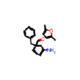 Cc1ccc(C)o1.NC1=CC=CC(C=O)(Cc2ccccc2)C1